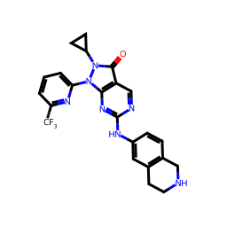 O=c1c2cnc(Nc3ccc4c(c3)CCNC4)nc2n(-c2cccc(C(F)(F)F)n2)n1C1CC1